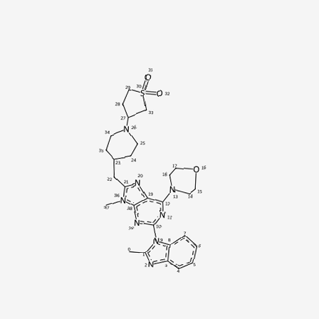 Cc1nc2ccccc2n1-c1nc(N2CCOCC2)c2nc(CC3CCN(C4CCS(=O)(=O)C4)CC3)n(C)c2n1